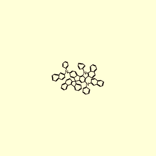 c1ccc(N(c2ccc3c(c2)C2(c4ccccc4-c4c2ccc2ccccc42)c2cc(N(c4ccccc4)c4ccc5ccccc5c4)c4c5ccc6ccccc6c5n(-c5ccccc5)c4c2-3)c2ccc3ccccc3c2)cc1